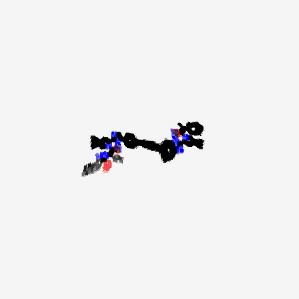 COC(=O)N[C@H](C(=O)N1CC2(CC2)C[C@H]1c1ncc(-c2ccc(C#Cc3ccc4nc([C@@H]5CC6(CC6)CN5C(=O)[C@@H](C)C5CCCCC5)[nH]c4c3)cc2)[nH]1)C(C)C